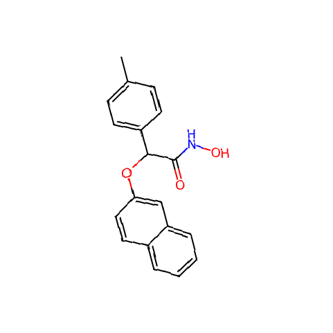 Cc1ccc(C(Oc2ccc3ccccc3c2)C(=O)NO)cc1